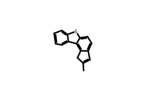 CC1=Cc2ccc3sc4ccccc4c3c2C1